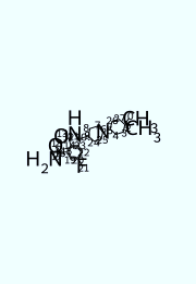 CC1(C)CCC(N2CCC(C3NC(=O)c4c(C(N)=O)cc(F)cc43)CC2)CC1